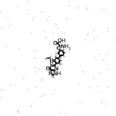 CCOc1cc(-c2cccc(O[C@@H](N)C(=O)O)c2)ccc1-c1nc2[nH]cnc2c(=O)[nH]1